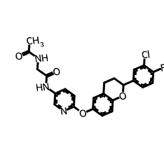 CC(=O)NCC(=O)Nc1ccc(Oc2ccc3c(c2)CCC(c2ccc(F)c(Cl)c2)O3)nc1